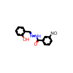 O=Nc1cccc(C(=O)N/N=C/c2ccccc2O)c1